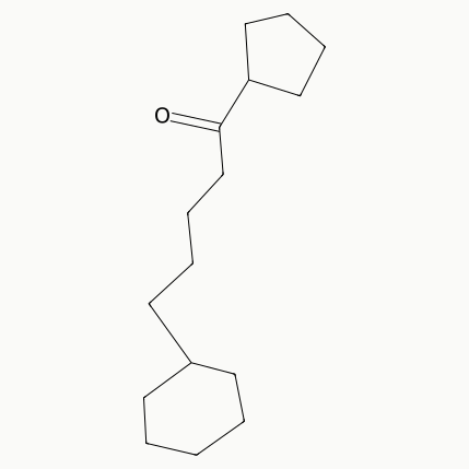 O=C(CCCCC1CCCCC1)C1CCCC1